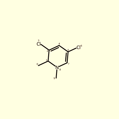 CC1C(Cl)=CC(Cl)=CN1C